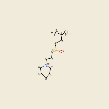 CC(C)CC[S+]([O-])CCCN1CCCCC1